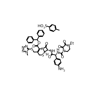 CCN1CCN(C(=O)N[C@H](C(=O)N[C@@H]2C(=O)N3C(C(=O)OC(c4ccccc4)c4ccccc4)=C(CSc4nnnn4C)CS[C@H]23)c2ccc(N)cc2)C(=O)C1=O.Cc1ccc(S(=O)(=O)O)cc1